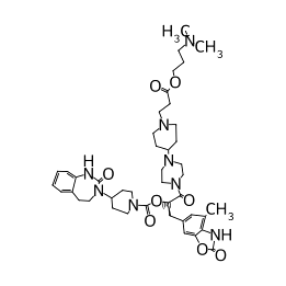 Cc1cc(C[C@@H](OC(=O)N2CCC(N3CCc4ccccc4NC3=O)CC2)C(=O)N2CCN(C3CCN(CCC(=O)OCCCN(C)C)CC3)CC2)cc2oc(=O)[nH]c12